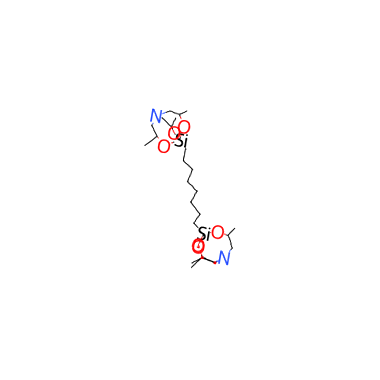 CC1CN2CC(C)O[Si](CCCCCCCC[Si]34OC(C)CN(CC(C)O3)CC(C)O4)(O1)OC(C)C2